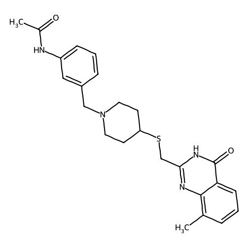 CC(=O)Nc1cccc(CN2CCC(SCc3nc4c(C)cccc4c(=O)[nH]3)CC2)c1